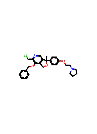 CC1(c2ccc(OCCN3CCCC3)cc2)OCc2c1cnc(CCl)c2OCc1ccccc1